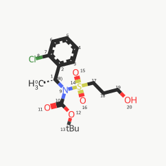 C[C@H](c1ccccc1Cl)N(C(=O)OC(C)(C)C)S(=O)(=O)CCCO